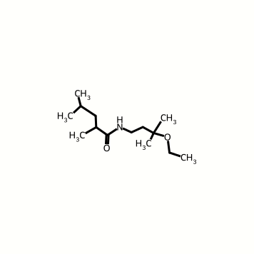 CCOC(C)(C)CCNC(=O)C(C)CC(C)C